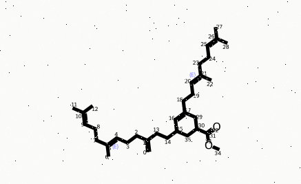 C=C(CC/C=C(\C)CCC=C(C)C)CCC1C=C(CC/C=C(\C)CCC=C(C)C)CC(C(=O)OC)C1